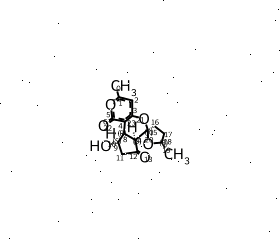 Cc1cc2c(c(=O)o1)[C@@H]1[C@@H](O)CC(=O)[C@@H]1[C@@]1(CC[C@@H](C)O1)O2